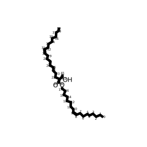 CCCCCCCC/C=C\CCCCCCCCOC(=O)C(CCCCCCCC/C=C\CCCCCCCC)C(C)O